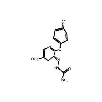 NC(=O)NN=C1CC(C=O)=CN=C1Oc1ccc(Cl)cc1